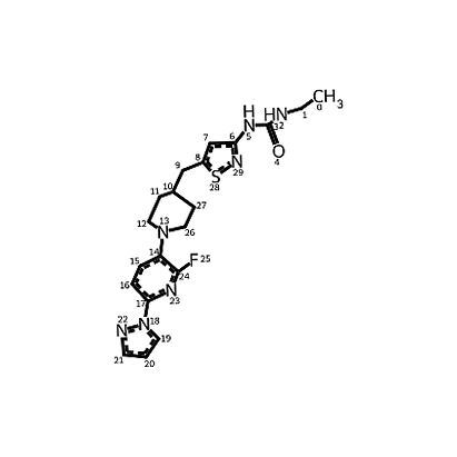 CCNC(=O)Nc1cc(CC2CCN(c3ccc(-n4cccn4)nc3F)CC2)sn1